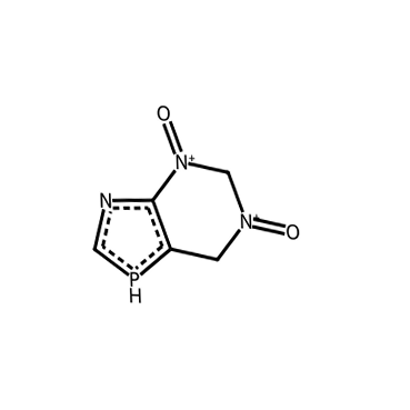 O=[N+]1Cc2[pH]cnc2[N+](=O)C1